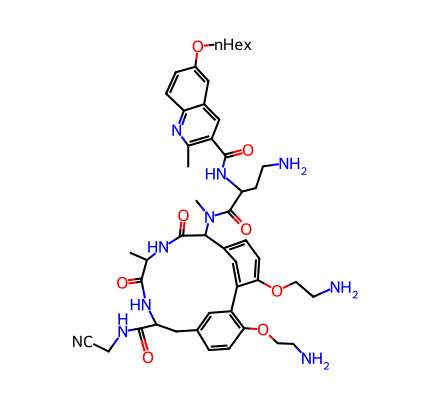 CCCCCCOc1ccc2nc(C)c(C(=O)NC(CCN)C(=O)N(C)C3C(=O)NC(C)C(=O)NC(C(=O)NCC#N)Cc4ccc(OCCN)c(c4)-c4cc3ccc4OCCN)cc2c1